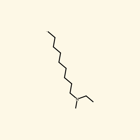 [CH2]CCCCCCCCN(C)CC